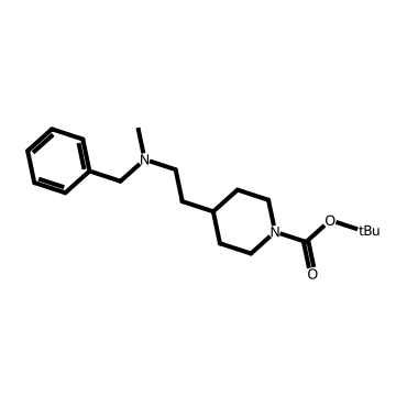 CN(CCC1CCN(C(=O)OC(C)(C)C)CC1)Cc1ccccc1